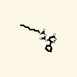 CCCCCCCCSC(=O)OC(=O)Oc1cc(Cl)nnc1-c1ccccc1